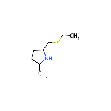 CCSCC1CCC(C)N1